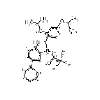 CC(C)Oc1ccc(C2Nc3ncc(-c4ccccc4)cc3N2OC(=O)C(F)(F)F)c(OC(C)C)c1